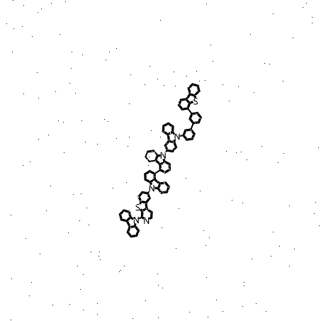 C1=Cc2c(c3c(-c4cccc5c4c4ccccc4n5-c4ccc5sc6c(-n7c8ccccc8c8ccccc87)nccc6c5c4)cccc3n2-c2ccc3c(c2)c2ccccc2n3-c2cccc(-c3cccc(-c4cccc5c4sc4ccccc45)c3)c2)CC1